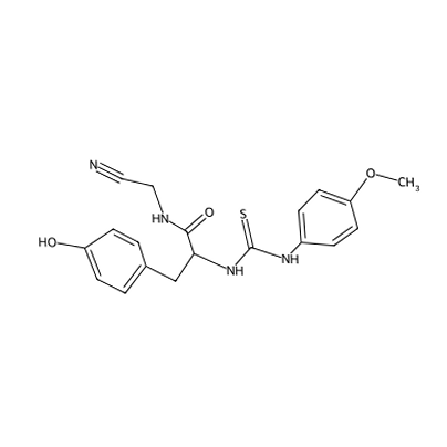 COc1ccc(NC(=S)NC(Cc2ccc(O)cc2)C(=O)NCC#N)cc1